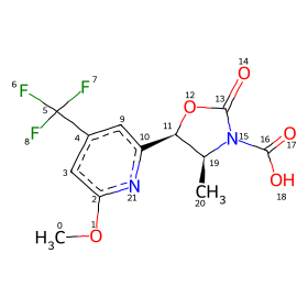 COc1cc(C(F)(F)F)cc([C@H]2OC(=O)N(C(=O)O)[C@H]2C)n1